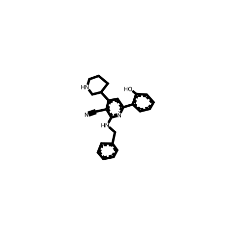 N#Cc1c(C2CCCNC2)cc(-c2ccccc2O)nc1NCc1ccccc1